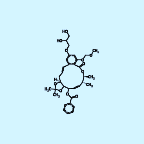 COCOc1cc(OCC(O)CO)cc2c1C(=O)O[C@@H](C)[C@H](C)/C=C\C(OC(=O)c1ccccc1)C1OC(C)(C)O[C@H]1C/C=C/2